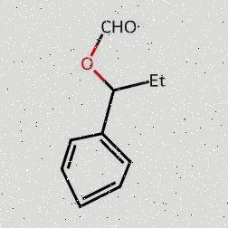 CCC(O[C]=O)c1ccccc1